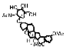 COc1ccc(OC)c(C2CC3C4CC=C5CC(OC6O[C@H](CO)[C@H](O)[C@H](O)[C@H]6NC(C)=O)CCC5(C)C4CCC3(C)C2C(C)=O)c1